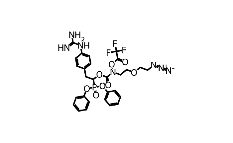 [N-]=[N+]=NCCOCCN(OC(=O)C(F)(F)F)C(=O)OC(Cc1ccc(NC(=N)N)cc1)P(=O)(Oc1ccccc1)Oc1ccccc1